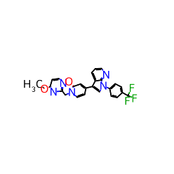 COc1ccnc(Cn2ccc(-c3cn(-c4ccc(C(F)(F)F)cc4)c4ncccc34)cc2=O)n1